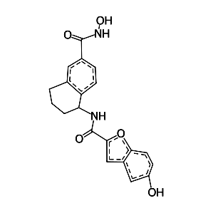 O=C(NO)c1ccc2c(c1)CCCC2NC(=O)c1cc2cc(O)ccc2o1